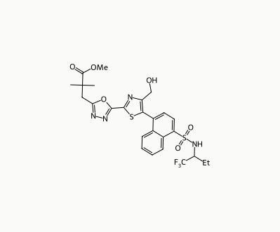 CCC(NS(=O)(=O)c1ccc(-c2sc(-c3nnc(CC(C)(C)C(=O)OC)o3)nc2CO)c2ccccc12)C(F)(F)F